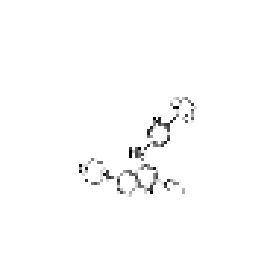 Cc1cc(Nc2ccc(C3OCCO3)nc2)c2cc(N3CCOCC3)ccc2n1